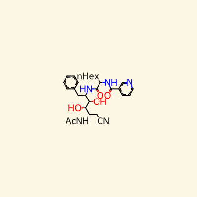 CCCCCC[C@@H](NC(=O)c1cccnc1)C(=O)N[C@H](Cc1ccccc1)[C@@H](O)[C@H](O)[C@H](CC#N)NC(C)=O